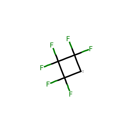 FC1(F)[C]C(F)(F)C1(F)F